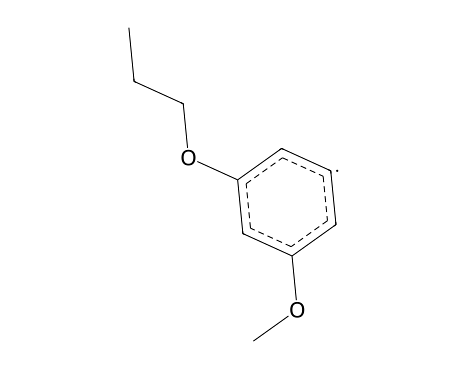 CCCOc1c[c]cc(OC)c1